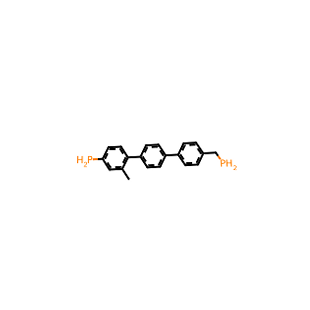 Cc1cc(P)ccc1-c1ccc(-c2ccc(CP)cc2)cc1